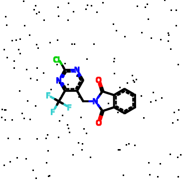 O=C1c2ccccc2C(=O)N1Cc1cnc(Cl)nc1C(F)(F)F